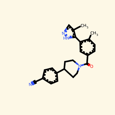 Cc1ccc(C(=O)N2CCC(c3ccc(C#N)cc3)CC2)cc1-c1[nH]ncc1C